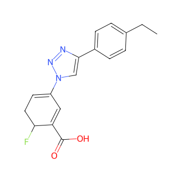 CCc1ccc(-c2cn(C3=CCC(F)C(C(=O)O)=C3)nn2)cc1